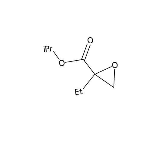 CCC1(C(=O)OC(C)C)CO1